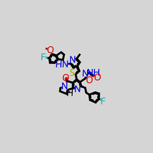 COc1c(F)ccc2c1CC[C@H]2Nc1nc(C)cc2cc(-c3c4c(nc(CCc5ccc(F)cc5)c3-c3n[nH]c(=O)o3)[C@@H]3CCCN3C4=O)sc12